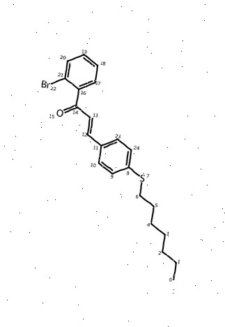 CCCCCCCSc1ccc(C=CC(=O)c2ccccc2Br)cc1